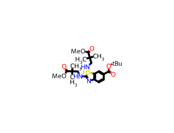 COC(=O)C(C)(C)CNC1=Nc2ccc(C(=O)OC(C)(C)C)cc2[SH]1NCC(C)(C)C(=O)OC